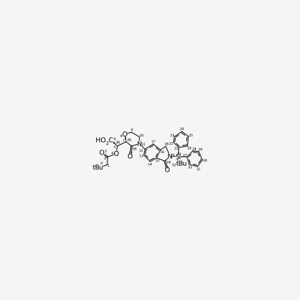 CC(C)(C)CC(=O)O[C@@H](C(=O)O)[C@H]1OCCN(c2ccc3c(c2)CN([Si](c2ccccc2)(c2ccccc2)C(C)(C)C)C3=O)C1=O